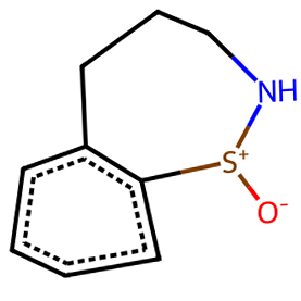 [O-][S+]1NCCCc2ccccc21